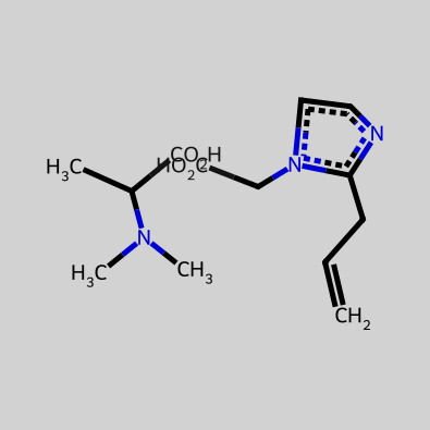 C=CCc1nccn1CC(=O)O.CC(C(=O)O)N(C)C